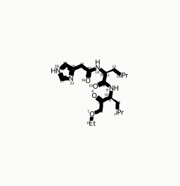 CCOCC(=O)[C@H](CC(C)C)NC(=O)[C@H](CC(C)C)NC(=O)Cc1c[nH]cn1